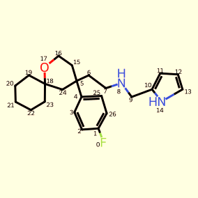 Fc1ccc(C2(CCNCc3ccc[nH]3)CCOC3(CCCCC3)C2)cc1